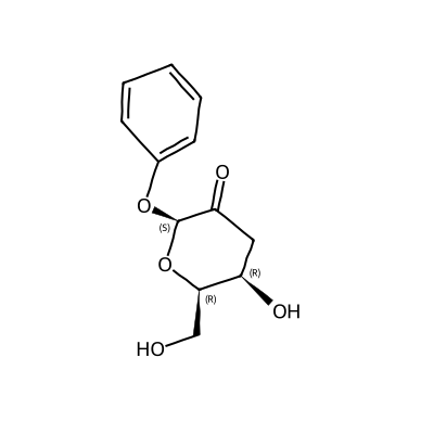 O=C1C[C@@H](O)[C@@H](CO)O[C@H]1Oc1ccccc1